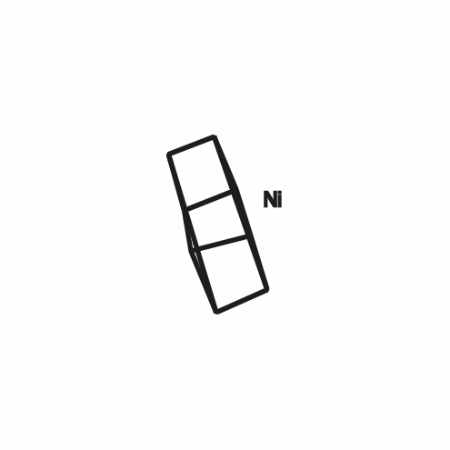 C12C3C4C1C1C2C3C41.[Ni]